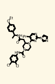 CCOc1ccc(C(C)NC(=O)CC2CN(C(=O)Nc3ccc(Cl)c(Cl)c3)CCN2c2nc(-n3ccnc3)ncc2C(C)C)cc1